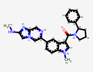 CNc1cn2cc(-c3ccc4c(c3)c(C(=O)N3CCCC3c3ccccc3)cn4C)ncc2n1